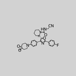 N#CCNC(=O)[C@@H]1CCCC[C@H]1c1oc(-c2ccc(F)cc2)nc1-c1ccc(N2CCS(=O)(=O)CC2)cc1